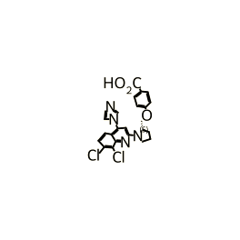 O=C(O)c1ccc(OC[C@@H]2CCCN2c2cc(-n3ccnc3)c3ccc(Cl)c(Cl)c3n2)cc1